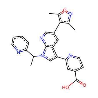 Cc1noc(C)c1-c1cnc2c(c1)c(-c1cc(C(=O)O)ccn1)cn2C(C)c1ccccn1